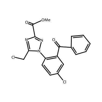 COC(=O)c1nc(CCl)n(-c2ccc(Cl)cc2C(=O)c2ccccc2)n1